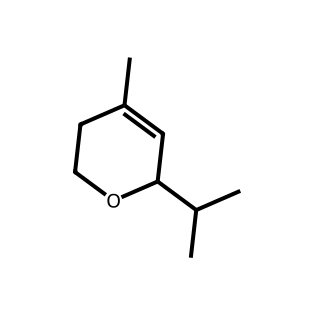 CC1=CC(C(C)C)OCC1